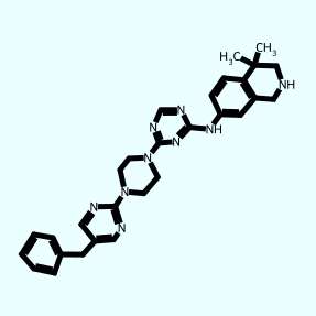 CC1(C)CNCc2cc(Nc3ncnc(N4CCN(c5ncc(Cc6ccccc6)cn5)CC4)n3)ccc21